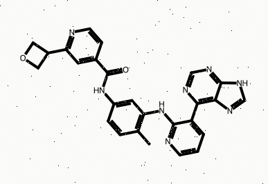 Cc1ccc(NC(=O)c2ccnc(C3COC3)c2)cc1Nc1ncccc1-c1ncnc2[nH]cnc12